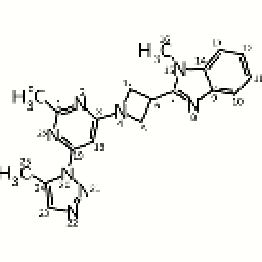 Cc1nc(N2CC(c3nc4ccccc4n3C)C2)cc(-n2nncc2C)n1